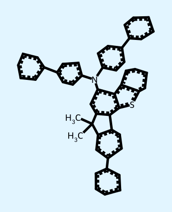 CC1(C)c2cc(-c3ccccc3)ccc2-c2c1cc(N(c1ccc(-c3ccccc3)cc1)c1ccc(-c3ccccc3)cc1)c1c2sc2ccccc21